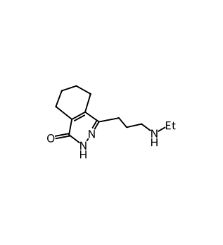 CCNCCCc1n[nH]c(=O)c2c1CCCC2